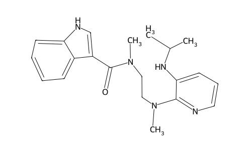 CC(C)Nc1cccnc1N(C)CCN(C)C(=O)c1c[nH]c2ccccc12